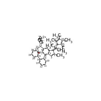 CC1=Cc2c(cc3c(c2-c2ccccc2-c2ccccc2)CCC3)C1[Si](C)(C)C1C(C)=C(C)C(C)=C1C.[Cl-].[Cl-].[Zr+2]